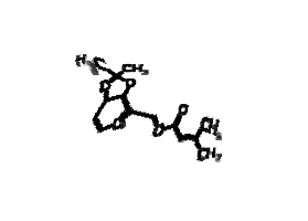 CC(C)CC(=O)OCC1OCCC2OC(C)(C)OC12